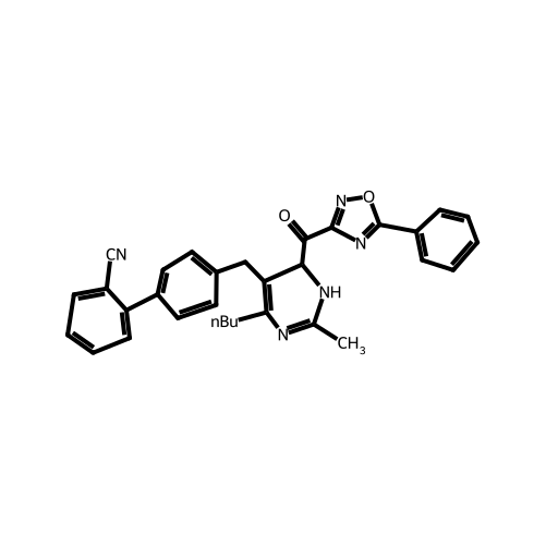 CCCCC1=C(Cc2ccc(-c3ccccc3C#N)cc2)C(C(=O)c2noc(-c3ccccc3)n2)NC(C)=N1